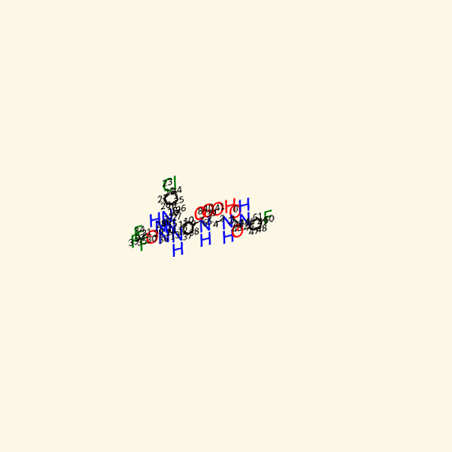 O=C(NCC[C@H](NC(=O)c1ccc(Nc2nc(NC3(c4ccc(Cl)cc4)CC3)nc(OCC(F)(F)F)n2)cc1)C(=O)O)C(=O)Nc1cccc(F)c1